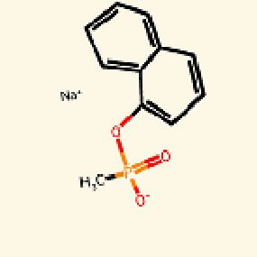 CP(=O)([O-])Oc1cccc2ccccc12.[Na+]